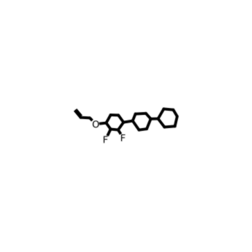 C=CCOC1CCC(C2CCC(C3CCCCC3)CC2)C(F)C1F